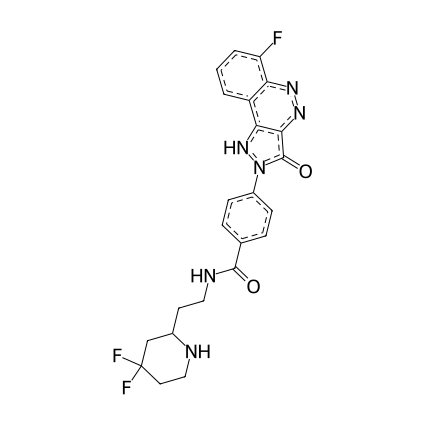 O=C(NCCC1CC(F)(F)CCN1)c1ccc(-n2[nH]c3c(nnc4c(F)cccc43)c2=O)cc1